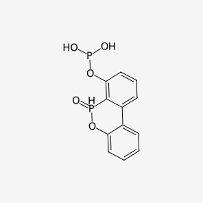 O=[PH]1Oc2ccccc2-c2cccc(OP(O)O)c21